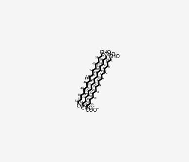 O=CCCCCCCCCCCCCCCCCC(=O)[O-].O=CCCCCCCCCCCCCCCCCC(=O)[O-].O=CCCCCCCCCCCCCCCCCC(=O)[O-].[Al+3]